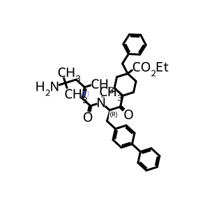 CCOC(=O)C1(Cc2ccccc2)CCC(C(=O)[C@@H](Cc2ccc(-c3ccccc3)cc2)N(C)C(=O)/C=C(\C)CC(C)(C)N)CC1